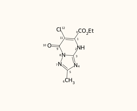 CCOC(=O)c1[nH]c2nc(C)nn2c(=O)c1Cl